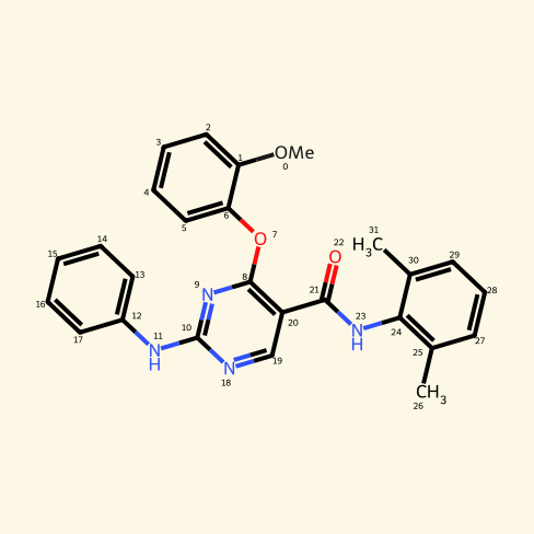 COc1ccccc1Oc1nc(Nc2ccccc2)ncc1C(=O)Nc1c(C)cccc1C